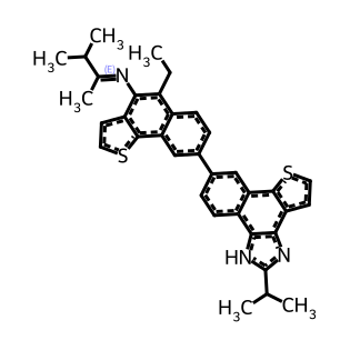 CCc1c(/N=C(\C)C(C)C)c2ccsc2c2cc(-c3ccc4c(c3)c3sccc3c3nc(C(C)C)[nH]c43)ccc12